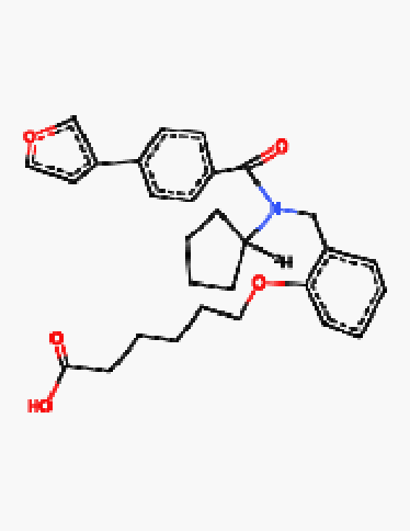 [2H]C1(N(Cc2ccccc2OCCCCCC(=O)O)C(=O)c2ccc(-c3ccoc3)cc2)CCCC1